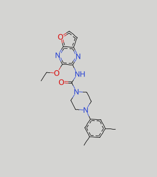 CCOc1nc2occc2nc1NC(=O)N1CCN(c2cc(C)cc(C)c2)CC1